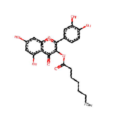 CCCCCCCCCCCCCCCC(=O)Oc1c(-c2ccc(O)c(O)c2)oc2cc(O)cc(O)c2c1=O